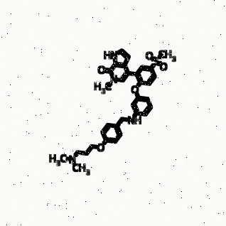 CN(C)CCCOc1ccc(CNc2cccc(Oc3ccc(S(C)(=O)=O)cc3-c3cn(C)c(=O)c4[nH]ccc34)c2)cc1